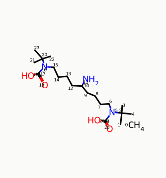 C.CC(C)(C)N(CCCCC(N)CCCCN(C(=O)O)C(C)(C)C)C(=O)O